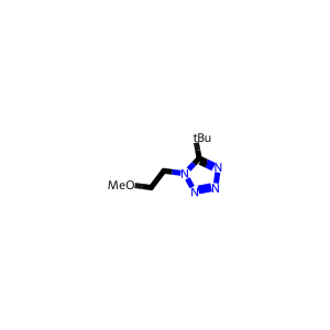 COCCn1nnnc1C(C)(C)C